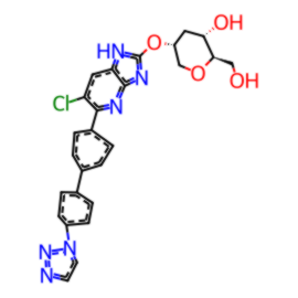 OC[C@H]1OC[C@H](Oc2nc3nc(-c4ccc(-c5ccc(-n6ccnn6)cc5)cc4)c(Cl)cc3[nH]2)C[C@@H]1O